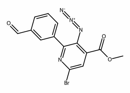 COC(=O)c1cc(Br)nc(-c2cccc(C=O)c2)c1N=[N+]=[N-]